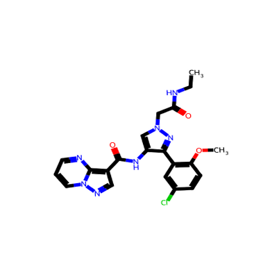 CCNC(=O)Cn1cc(NC(=O)c2cnn3cccnc23)c(-c2cc(Cl)ccc2OC)n1